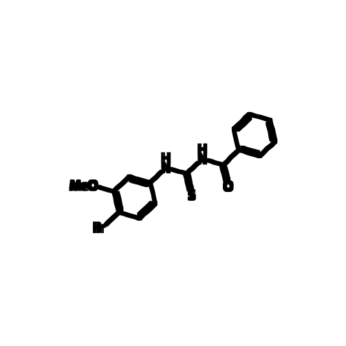 COc1cc(NC(=S)NC(=O)c2ccccc2)ccc1Br